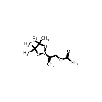 C=C(COC(N)=O)B1OC(C)(C)C(C)(C)O1